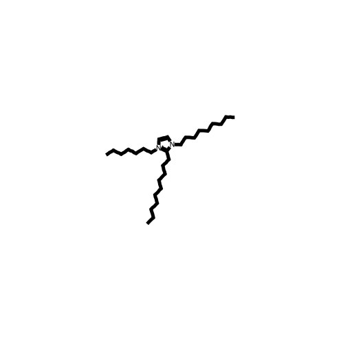 CCCCCCCCCCc1n(CCCCCCCCC)cc[n+]1CCCCCCC